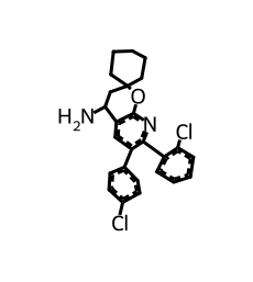 NC1CC2(CCCCC2)Oc2nc(-c3ccccc3Cl)c(-c3ccc(Cl)cc3)cc21